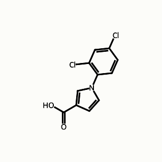 O=C(O)c1ccn(-c2ccc(Cl)cc2Cl)c1